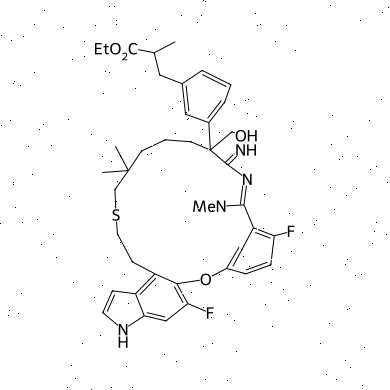 CCOC(=O)C(C)Cc1cccc(C2(CO)CCCC(C)(C)CSCCc3c(c(F)cc4[nH]ccc34)Oc3ccc(F)c(c3)/C(NC)=N/C2=N)c1